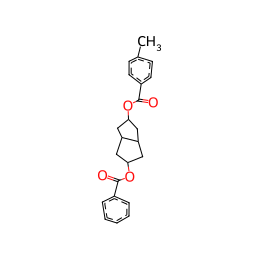 Cc1ccc(C(=O)OC2CC3CC(OC(=O)c4ccccc4)CC3C2)cc1